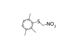 Cc1ccc(C)c(SC[N+](=O)[O-])c1C